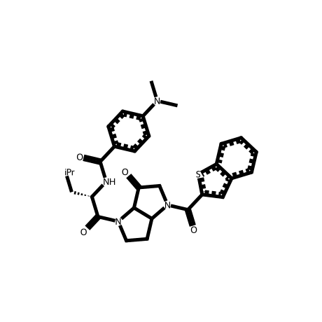 CC(C)C[C@H](NC(=O)c1ccc(N(C)C)cc1)C(=O)N1CCC2C1C(=O)CN2C(=O)c1cc2ccccc2s1